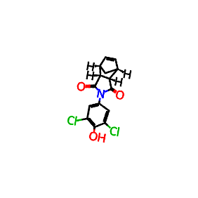 O=C1[C@@H]2[C@H](C(=O)N1c1cc(Cl)c(O)c(Cl)c1)[C@@H]1C=C[C@H]2C1